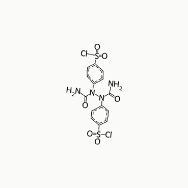 NC(=O)N(c1ccc(S(=O)(=O)Cl)cc1)N(C(N)=O)c1ccc(S(=O)(=O)Cl)cc1